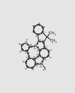 CC1(C)c2ccccc2-c2c1c1ccc3c4c5c(cccc5n3I)c3ccsc3n2c14